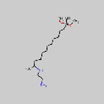 CO[Si](C)(CCCCCCCCCCC(C)NCCN)OC